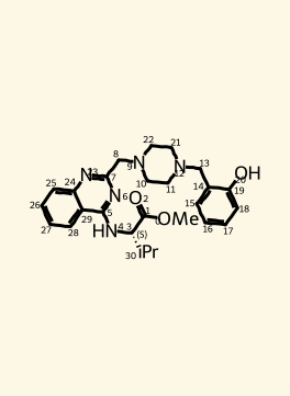 COC(=O)[C@@H](Nc1nc(CN2CCN(Cc3ccccc3O)CC2)nc2ccccc12)C(C)C